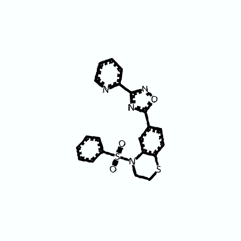 O=S(=O)(c1ccccc1)N1CCSc2ccc(-c3nc(-c4ccccn4)no3)cc21